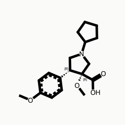 COc1ccc([C@@H]2CN(C3CCCC3)C[C@@]2(OC)C(=O)O)cc1